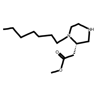 CCCCCCCN1CCNC[C@@H]1CC(=O)OC